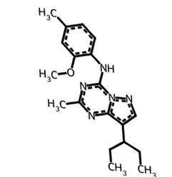 CCC(CC)c1cnn2c(Nc3ccc(C)cc3OC)nc(C)nc12